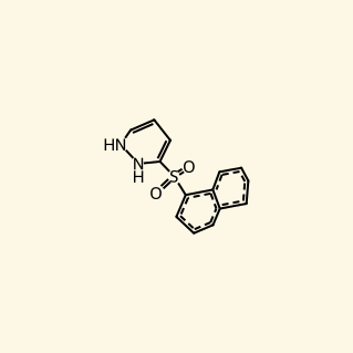 O=S(=O)(C1=CC=CNN1)c1cccc2ccccc12